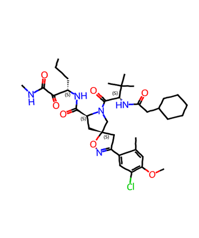 CCC[C@H](NC(=O)[C@@H]1C[C@]2(CC(c3cc(Cl)c(OC)cc3C)=NO2)CN1C(=O)[C@@H](NC(=O)CC1CCCCC1)C(C)(C)C)C(=O)C(=O)NC